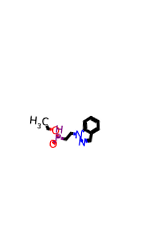 CCO[PH](=O)CCn1ncc2ccccc21